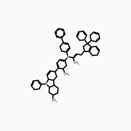 C/C(=C\CC1CC(C2C=CC=CC2)(C2C=CC=CC2)C2=C1CCC=C2)N(C1=CC=C(c2ccccc2)CC1)C1=CC=C(C2C=CC3C(C2)C2CCC(C)CC2N3C2=CC=CCC2)C(C)C1